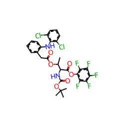 CC(OC(=O)Cc1ccccc1Nc1c(Cl)cccc1Cl)C(NC(=O)OC(C)(C)C)C(=O)Oc1c(F)c(F)c(F)c(F)c1F